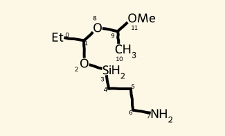 CCC(O[SiH2]CCCN)OC(C)OC